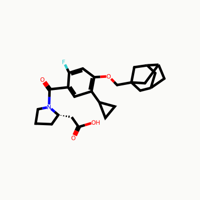 O=C(O)C[C@@H]1CCCN1C(=O)c1cc(C2CC2)c(OCC23CC4CC(C2)C(C4)C3)cc1F